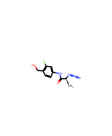 C[C@H](N=[N+]=[N-])C(=O)Nc1ccc(CO)c(F)c1